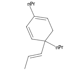 CC=CC1(CCC)C=CC(CCC)=CC1